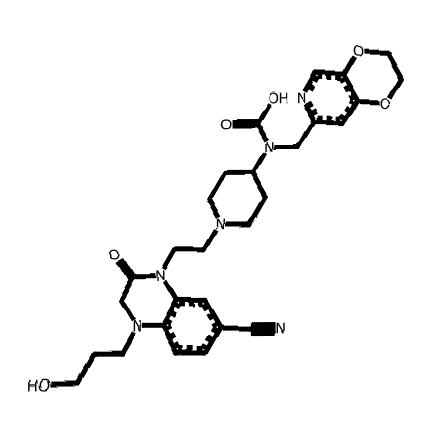 N#Cc1ccc2c(c1)N(CCN1CCC(N(Cc3cc4c(cn3)OCCO4)C(=O)O)CC1)C(=O)CN2CCCO